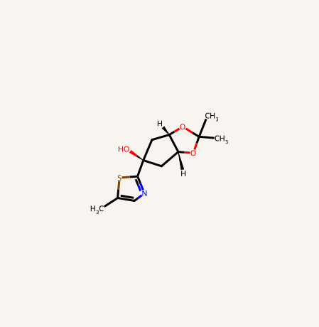 Cc1cnc([C@]2(O)C[C@@H]3OC(C)(C)O[C@@H]3C2)s1